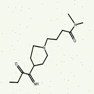 CCC(=O)C(=N)C1CCN(CCCC(=O)N(C)C)CC1